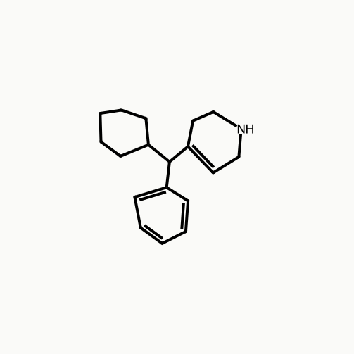 C1=C(C(c2ccccc2)C2CCCCC2)CCNC1